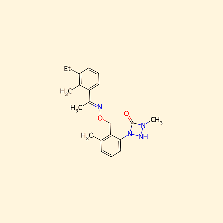 CCc1cccc(C(C)=NOCc2c(C)cccc2-n2[nH]n(C)c2=O)c1C